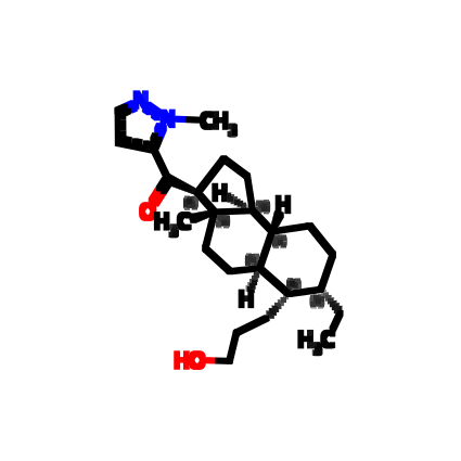 CC[C@H]1CC[C@@H]2[C@H](CC[C@]3(C)[C@@H](C(=O)c4ccnn4C)CC[C@@H]23)[C@H]1CCCO